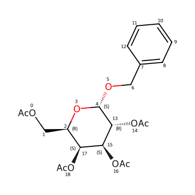 CC(=O)OC[C@H]1O[C@H](OCc2ccccc2)[C@H](OC(C)=O)[C@@H](OC(C)=O)[C@H]1OC(C)=O